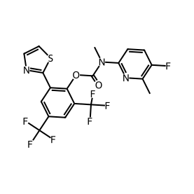 Cc1nc(N(C)C(=O)Oc2c(-c3nccs3)cc(C(F)(F)F)cc2C(F)(F)F)ccc1F